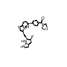 O=C(c1ccc(-c2ccc3ncc(C#CC4=C(F)C=C5C=CNC5N4)n3n2)cc1)N1CCOCC1